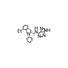 CCc1cccc2c1CN(c1ccccc1)C([C@H](C)Nc1ncnc3[nH]cnc13)=C2